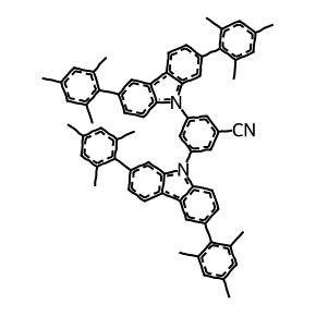 Cc1cc(C)c(-c2ccc3c(c2)c2ccc(-c4c(C)cc(C)cc4C)cc2n3-c2cc(C#N)cc(-n3c4ccc(-c5c(C)cc(C)cc5C)cc4c4ccc(-c5c(C)cc(C)cc5C)cc43)c2)c(C)c1